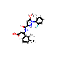 COc1cc(C(=O)NC(CC(=O)O)c2cccc(C)c2C)nn1-c1ccccc1F